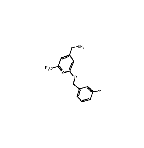 Cc1cccc(COc2cc(CN)cc(C(F)(F)F)n2)c1